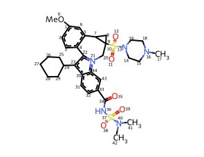 COc1ccc2c(c1)C1CC1(S(=O)(=O)N1CCN(C)CC1)Cn1c-2c(C2CCCCC2)c2ccc(C(=O)NS(=O)(=O)N(C)C)cc21